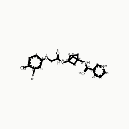 O=C(COc1ccc(Cl)c(F)c1)NC12CCC(NC(=O)c3cccnc3)(C1)C2